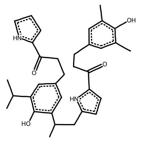 Cc1cc(CCC(=O)c2ccc(CC(C)c3cc(CCC(=O)c4ccc[nH]4)cc(C(C)C)c3O)[nH]2)cc(C)c1O